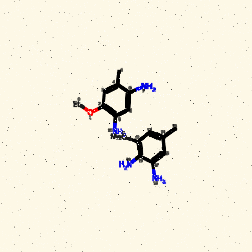 CCOc1cc(C)c(N)cc1N.COc1cc(C)cc(N)c1N